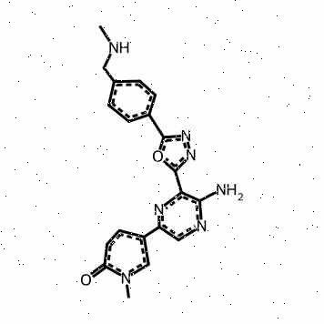 CNCc1ccc(-c2nnc(-c3nc(-c4ccc(=O)n(C)c4)cnc3N)o2)cc1